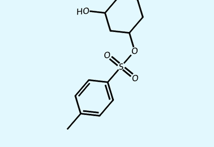 Cc1ccc(S(=O)(=O)OC2CCCC(O)C2)cc1